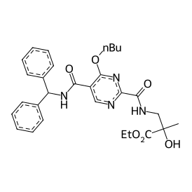 CCCCOc1nc(C(=O)NCC(C)(O)C(=O)OCC)ncc1C(=O)NC(c1ccccc1)c1ccccc1